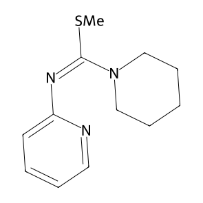 CS/C(=N/c1ccccn1)N1CCCCC1